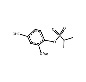 COc1cc(C=O)ccc1OS(=O)(=O)N(C)C